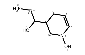 OC(NP)C1CC=CN(O)C1